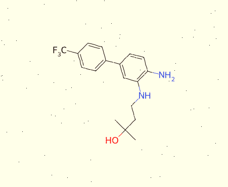 CC(C)(O)CCNc1cc(-c2ccc(C(F)(F)F)cc2)ccc1N